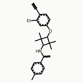 C#Cc1ccc(OC2C(C)(C)C(NC(=C)c3ccc(C)cc3)C2(C)C)cc1CC